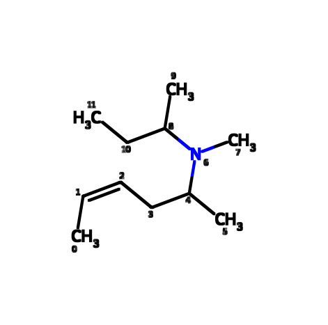 C/C=C\CC(C)N(C)C(C)CC